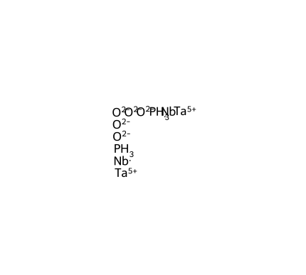 P.P.[Nb].[Nb].[O-2].[O-2].[O-2].[O-2].[O-2].[Ta+5].[Ta+5]